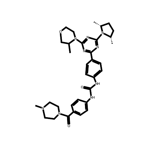 CC1COCCN1c1nc(-c2ccc(NC(=O)Nc3ccc(C(=O)N4CCN(C)CC4)cc3)cc2)nc(N2[C@H](C)CC[C@@H]2C)n1